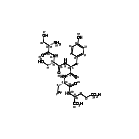 CC(C)C[C@H](NC(=O)[C@H](Cc1ccc(O)cc1)NC(=O)[C@H](CO)NC(=O)[C@@H](N)CO)C(=O)N[C@@H](CCC(=O)O)C(=O)O